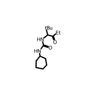 CCC(=O)C(NC(=O)NC1CCCCC1)C(C)(C)C